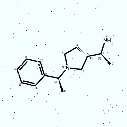 C[C@H](N)[C@H]1CCN([C@@H](C)c2ccccc2)C1